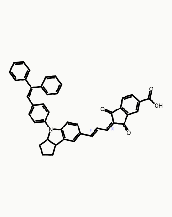 O=C(O)c1ccc2c(c1)C(=O)/C(=C/C=C/c1ccc3c(c1)C1CCCC1N3c1ccc(C=C(c3ccccc3)c3ccccc3)cc1)C2=O